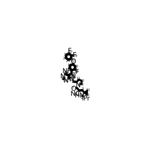 CC(C)NC1(C=C(C#N)C(=O)N2CCCC2Cn2nc(-c3ccc(Oc4cccc(F)c4F)cc3F)c3c(N)ncnc32)CC1